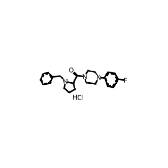 Cl.O=C(C1CCCN1Cc1ccccc1)N1CCN(c2ccc(F)cc2)CC1